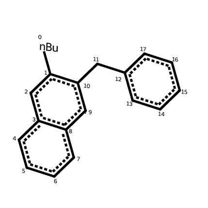 CCCCc1cc2ccccc2[c]c1Cc1ccccc1